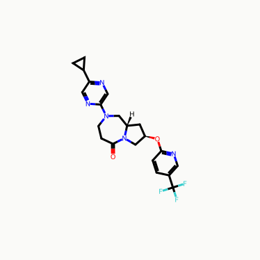 O=C1CCN(c2cnc(C3CC3)cn2)C[C@@H]2C[C@@H](Oc3ccc(C(F)(F)F)cn3)CN12